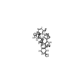 O=C(c1c(-c2c(F)cccc2Cl)noc1-c1cnn(-c2cccc(Cl)c2)c1C(F)(F)F)N1CCOCC1